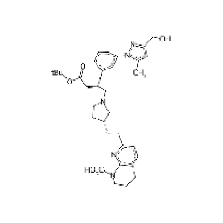 Cc1cc(CO)nn1-c1cccc([C@H](CC(=O)OC(C)(C)C)CN2CC[C@@H](CCc3ccc4c(n3)N(C(=O)O)CCC4)C2)c1